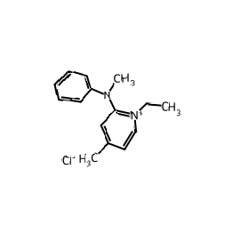 CC[n+]1ccc(C)cc1N(C)c1ccccc1.[Cl-]